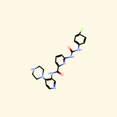 O=C(Nc1ccc(F)cc1)Nc1cccc(C(=O)Nc2cnccc2N2CCNCC2)n1